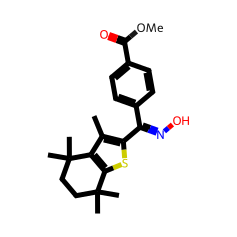 COC(=O)c1ccc(/C(=N\O)c2sc3c(c2C)C(C)(C)CCC3(C)C)cc1